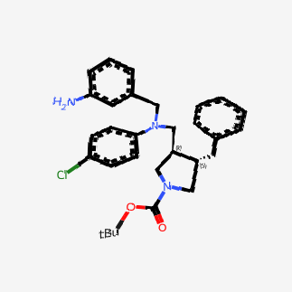 CC(C)(C)OC(=O)N1C[C@@H](Cc2ccccc2)[C@H](CN(Cc2cccc(N)c2)c2ccc(Cl)cc2)C1